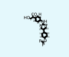 O=C(O)C(CO)c1ccc(Nc2ncc(-c3ccc(OC(F)F)cc3)cn2)cc1